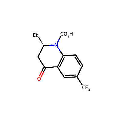 CC[C@H]1CC(=O)c2cc(C(F)(F)F)ccc2N1C(=O)O